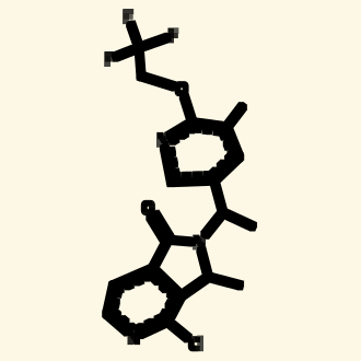 Cc1cc(C(C)N2C(=O)c3ccnc(Cl)c3C2C)cnc1OCC(F)(F)F